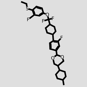 CCSc1ccc(OC(F)(F)C2CCC(c3ccc(C4OCC(C5CCC(C)CC5)CO4)cc3F)CC2)cc1F